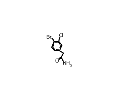 NC(=O)Cc1ccc(Br)c(Cl)c1